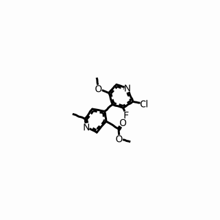 COC(=O)c1cnc(C)cc1-c1c(OC)cnc(Cl)c1F